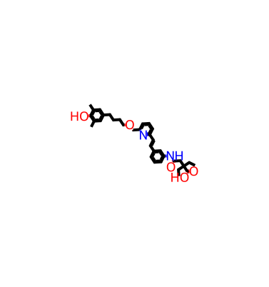 CCC(CC)(CC(=O)Nc1cccc(C=Cc2cccc(COCCCCc3cc(C)c(O)c(C)c3)n2)c1)C(=O)O